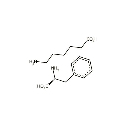 NCCCCCC(=O)O.N[C@@H](Cc1ccccc1)C(=O)O